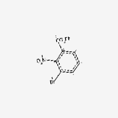 CCOC(=O)c1cccc(Br)c1[N+](=O)[O-]